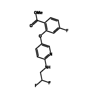 COC(=O)c1ccc(F)cc1Oc1ccc(NCC(F)F)nc1